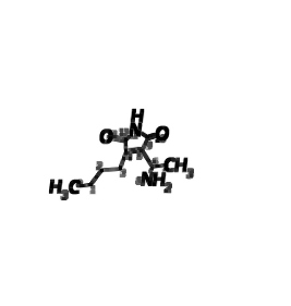 CCCCC1=C(C(C)N)C(=O)NC1=O